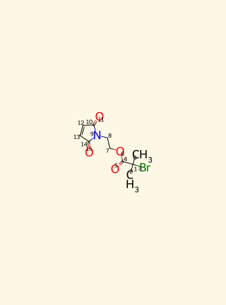 CC(C)(Br)C(=O)OCCN1C(=O)C=CC1=O